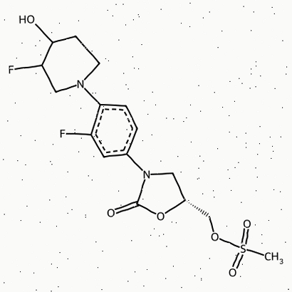 CS(=O)(=O)OC[C@H]1CN(c2ccc(N3CCC(O)C(F)C3)c(F)c2)C(=O)O1